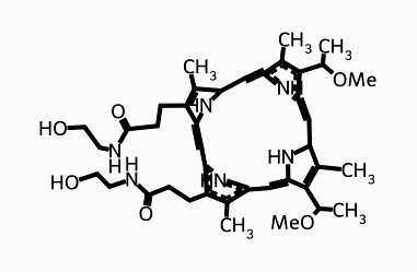 COC(C)C1=C(C)C2/C=c3\[nH]/c(c(C)c3C(C)OC)=C\C3N/C(=C\c4[nH]c(c(C)c4CCC(=O)NCCO)/C=C/1N2)C(CCC(=O)NCCO)=C3C